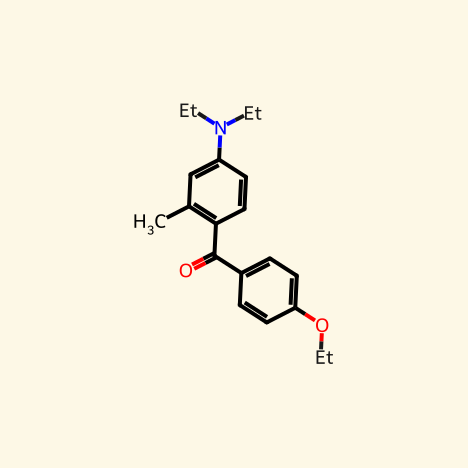 CCOc1ccc(C(=O)c2ccc(N(CC)CC)cc2C)cc1